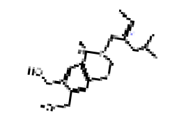 C/C=C(/CC(C)C)CN1CCc2cc(CO)c(CO)cc2[C@H]1C